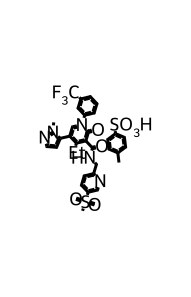 CCc1c(-c2ccnn2C)cn(-c2cccc(C(F)(F)F)c2)c(=O)c1C(=O)NCc1ccc(S(C)(=O)=O)cn1.Cc1ccc(S(=O)(=O)O)cc1